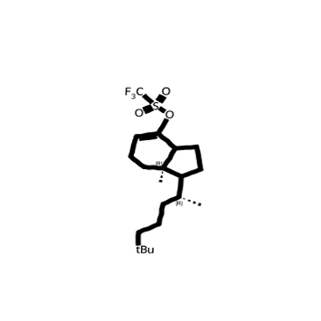 C[C@H](CCCC(C)(C)C)C1CCC2C(OS(=O)(=O)C(F)(F)F)=CCC[C@@]21C